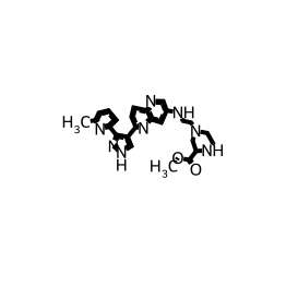 COC(=O)C1CN(CCNc2cnc3ccc(-c4c[nH]nc4-c4cccc(C)n4)nc3c2)CCN1